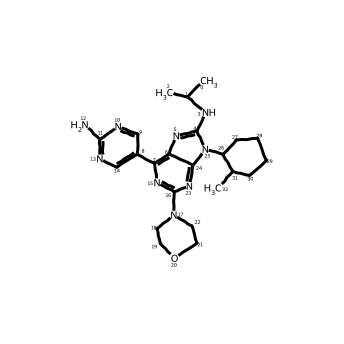 CC(C)Nc1nc2c(-c3cnc(N)nc3)nc(N3CCOCC3)nc2n1C1CCCCC1C